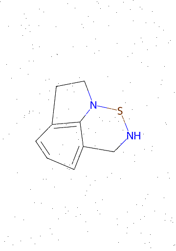 c1cc2c3c(c1)CNSN3CC2